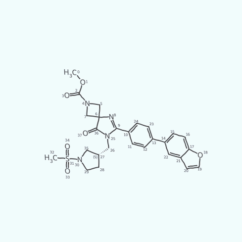 COC(=O)N1CC2(C1)N=C(c1ccc(-c3ccc4occc4c3)cc1)N(C[C@@H]1CCN(S(C)(=O)=O)C1)C2=O